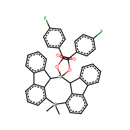 C[Si]1(C)c2cccc3c2[CH](c2ccccc2-3)[Ti]([O]C(=O)c2ccc(F)cc2)([O]C(=O)c2ccc(F)cc2)[CH]2c3ccccc3-c3cccc1c32